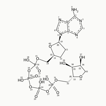 Nc1ncnc2c1ncn2[C@H]1CC[C@@H](COP(=O)(O)OP(=O)(O)OP(=O)(O)OP(=O)(O)OC[C@H]2OC[C@H](O)[C@@H]2O)O1